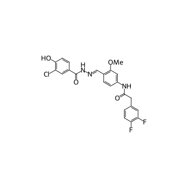 COc1cc(NC(=O)Cc2ccc(F)c(F)c2)ccc1C=NNC(=O)c1ccc(O)c(Cl)c1